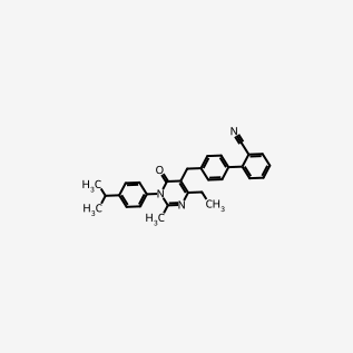 CCc1nc(C)n(-c2ccc(C(C)C)cc2)c(=O)c1Cc1ccc(-c2ccccc2C#N)cc1